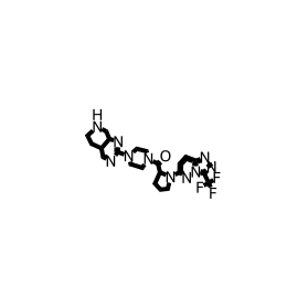 O=C(C1CCCN1c1ccc2nnc(C(F)(F)F)n2n1)N1CCN(C2=NC3CNCCC3C=N2)CC1